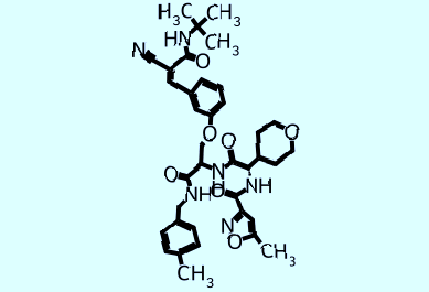 Cc1ccc(CNC(=O)C(COc2cccc(C=C(C#N)C(=O)NC(C)(C)C)c2)NC(=O)[C@@H](NC(=O)c2cc(C)on2)C2CCOCC2)cc1